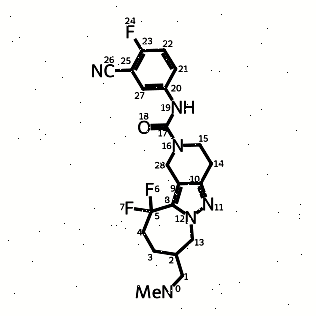 CNCC1CCC(F)(F)c2c3c(nn2C1)CCN(C(=O)Nc1ccc(F)c(C#N)c1)C3